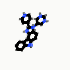 c1ccc2c(c1)[nH]c1ccc3c(nc(-c4ccncc4)n3-c3cncnc3)c12